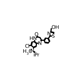 CC(C)CN(C)c1cc2c(cc1Cl)NC(=O)CC(c1cccc(-c3nc(CO)cs3)c1)=N2